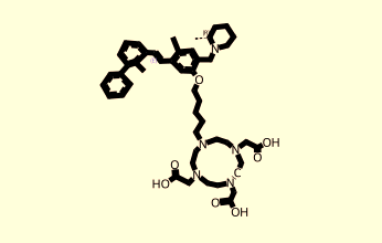 Cc1cc(CN2CCCC[C@H]2C)c(OCCCCCN2CCN(CC(=O)O)CCN(CC(=O)O)CCN(CC(=O)O)CC2)cc1/C=C/c1cccc(-c2ccccc2)c1C